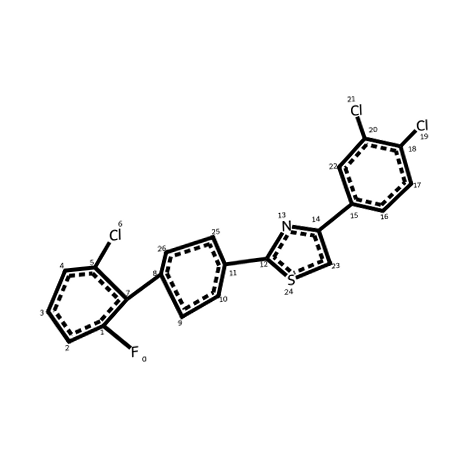 Fc1cccc(Cl)c1-c1ccc(-c2nc(-c3ccc(Cl)c(Cl)c3)cs2)cc1